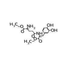 CCOC(=O)[C@H](Cc1ccc(O)c(O)c1)NC(=O)CC[C@H](N)C(=O)OCC